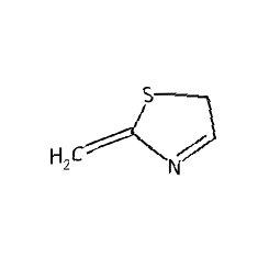 C=C1N=CCS1